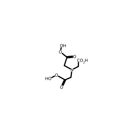 O=C(O)CN(CC(=O)OO)CC(=O)OO